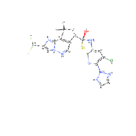 CC1(C)C[C@H]([C@@](O)(S)Nc2cnc(-n3nccn3)c(Cl)c2)c2cnn3cc(C(F)F)nc3c21